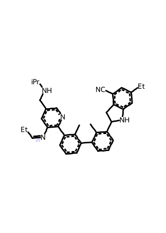 CC/C=N\c1cc(CNC(C)C)cnc1-c1cccc(-c2cccc(C3Cc4c(C#N)cc(CC)cc4N3)c2C)c1C